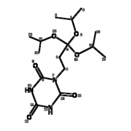 CC(C)OC(CCn1c(=O)[nH]c(=O)[nH]c1=O)(OC(C)C)OC(C)C